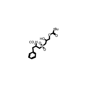 CC(C)(C)C(=O)OCC(O)CS(=O)(=O)CC(Cc1ccccc1)C(=O)O